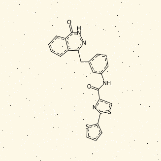 O=C(Nc1cccc(Cc2n[nH]c(=O)c3ccccc23)c1)c1csc(-c2cccs2)n1